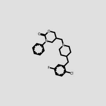 O=C1OCC(CN2CCC(Cc3cc(F)ccc3Cl)CC2)CN1c1ccccc1